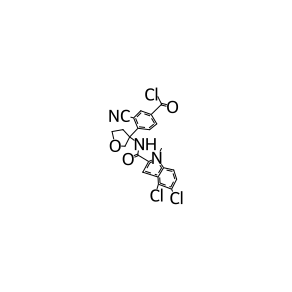 Cn1c(C(=O)NC2(c3ccc(C(=O)Cl)cc3C#N)CCOC2)cc2c(Cl)c(Cl)ccc21